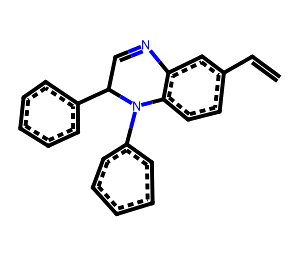 C=Cc1ccc2c(c1)N=CC(c1ccccc1)N2c1ccccc1